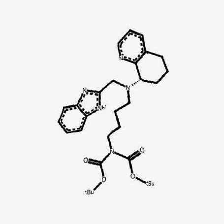 CC(C)(C)OC(=O)N(CCCCN(Cc1nc2ccccc2[nH]1)[C@H]1CCCc2cccnc21)C(=O)OC(C)(C)C